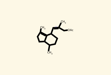 CC(=O)OC/C(C)=C\C1CCC(C)C2CCC(C)=C12